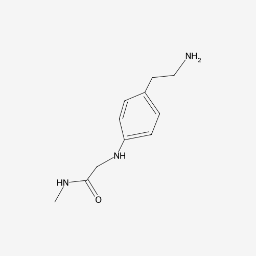 CNC(=O)CNc1ccc(CCN)cc1